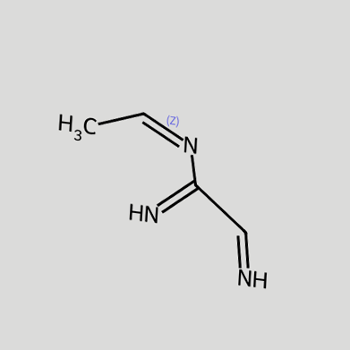 C/C=N\C(=N)C=N